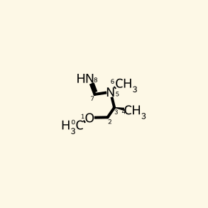 COC[C@H](C)N(C)C=N